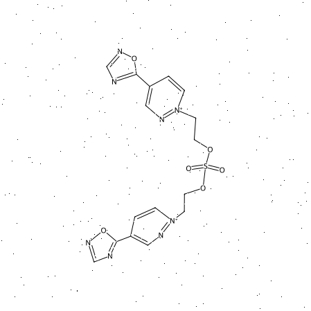 O=S(=O)(OCC[n+]1ccc(-c2ncno2)cn1)OCC[n+]1ccc(-c2ncno2)cn1